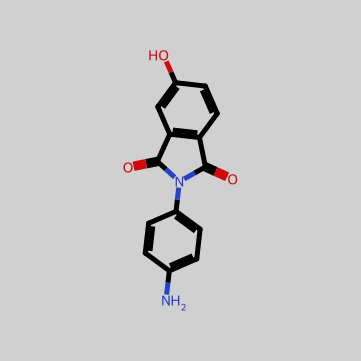 Nc1ccc(N2C(=O)c3ccc(O)cc3C2=O)cc1